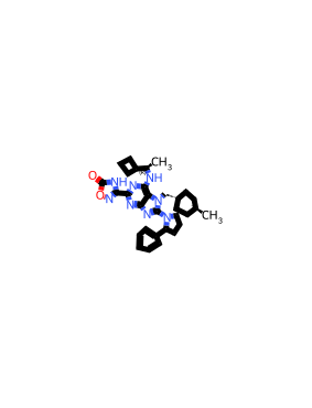 C[C@@H](Nc1nc(-c2noc(=O)[nH]2)nc2nc(N3CCCC3c3ccccc3)n(C[C@H]3CC[C@H](C)CC3)c12)C1CCC1